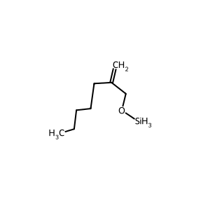 C=C(CCCCC)CO[SiH3]